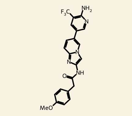 COc1ccc(CC(=O)Nc2cn3cc(-c4cnc(N)c(C(F)(F)F)c4)ccc3n2)cc1